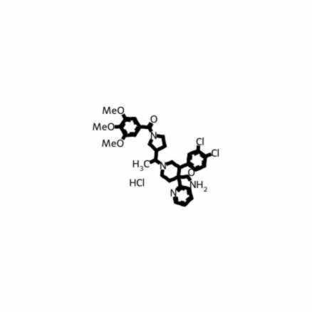 COc1cc(C(=O)N2CCC(C(C)N3CCC(C(N)=O)(c4ccccn4)C(c4ccc(Cl)c(Cl)c4)C3)C2)cc(OC)c1OC.Cl